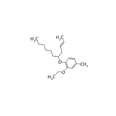 CC=CCC(CCCCCC)Oc1ccc(C)cc1OCC